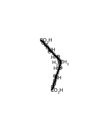 CC(C)(COCCC(=O)NCCCCCCCC(=O)NCCOCCOCCOCCC(=O)O)COCCC(=O)NCCCCCCCC(=O)NCCOCCOCCOCCC(=O)O